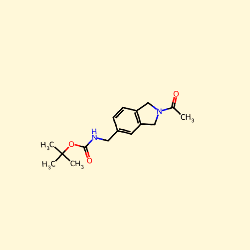 CC(=O)N1Cc2ccc(CNC(=O)OC(C)(C)C)cc2C1